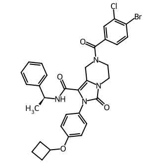 C[C@H](NC(=O)c1c2n(c(=O)n1-c1ccc(OC3CCC3)cc1)CCN(C(=O)c1ccc(Br)c(Cl)c1)C2)c1ccccc1